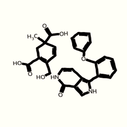 CC1(C(=O)O)C=CC(CO)=C(C(=O)O)C1.O=c1[nH]ccc2c(-c3ccccc3Oc3ccccc3)[nH]cc12